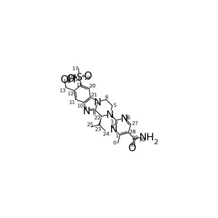 Cc1nc(N2CCn3c(nc4cc(CO)c(S(C)(=O)=O)cc43)[C@@H]2C(C)C)ncc1C(N)=O